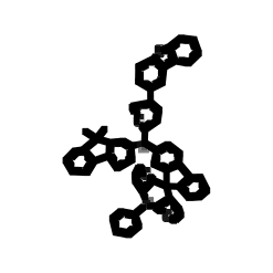 CC1(C)c2ccccc2-c2ccc([C@@H](c3ccc(-c4ccc5sc6ccccc6c5c4)cc3)c3ccc4c(c3)C3(c5ccccc5-4)c4ccccc4N(c4ccccc4)c4ccccc43)cc21